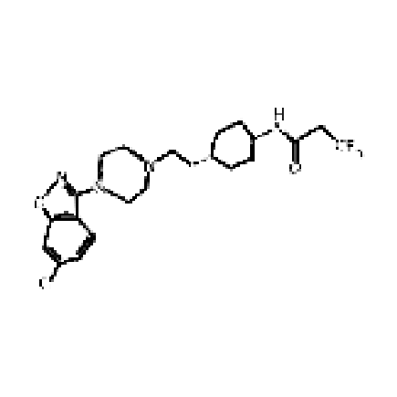 O=C(CC(F)(F)F)N[C@H]1CC[C@H](CCN2CCN(c3noc4cc(Cl)ccc34)CC2)CC1